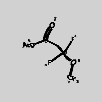 CC(=O)OC(=O)C(F)(F)OC(F)(F)F